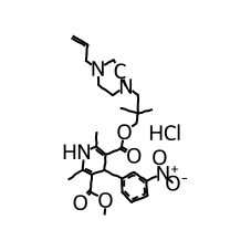 C=CCN1CCN(CC(C)(C)COC(=O)C2=C(C)NC(C)=C(C(=O)OC)C2c2cccc([N+](=O)[O-])c2)CC1.Cl